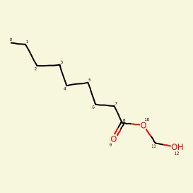 CCCCCCCCC(=O)OCO